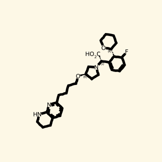 O=C(O)[C@H](C1=CC=CC(F)C1[C@H]1CCCCO1)N1CC[C@@H](OCCCCc2ccc3c(n2)NCCC3)C1